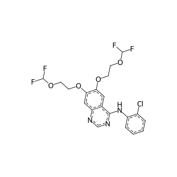 FC(F)OCCOc1cc2ncnc(Nc3ccccc3Cl)c2cc1OCCOC(F)F